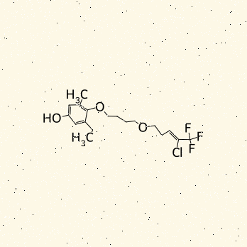 CCc1cc(O)cc(C)c1OCCCCOCC/C=C(\Cl)C(F)(F)F